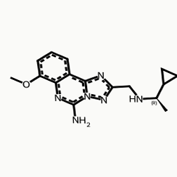 COc1cccc2c1nc(N)n1nc(CN[C@H](C)C3CC3)nc21